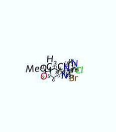 COC(=O)C1(C)CCCC(C)(c2nc(Br)c3c(Cl)nccn23)C1